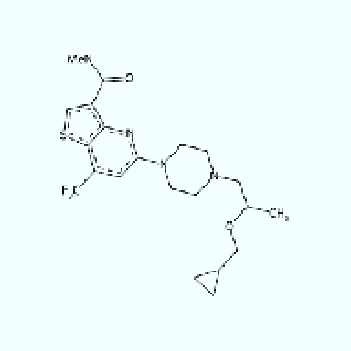 CNC(=O)c1csc2c(C(F)(F)F)cc(N3CCN(CC(C)OCC4CC4)CC3)nc12